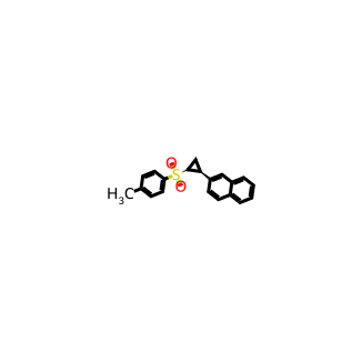 Cc1ccc(S(=O)(=O)[C@@H]2C[C@H]2c2ccc3ccccc3c2)cc1